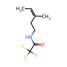 CC=C(C)CCNC(=O)C(F)(F)F